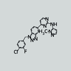 Cn1nccc1Nc1nccc(-c2ccc3c(c2)nnn3Cc2ccc(Cl)c(F)c2)n1